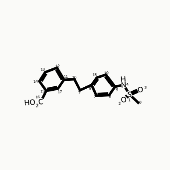 CS(=O)(=O)Nc1ccc(CCc2cccc(C(=O)O)c2)cc1